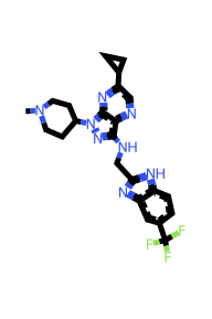 CN1CCC(n2nc(NCc3nc4cc(C(F)(F)F)ccc4[nH]3)c3ncc(C4CC4)nc32)CC1